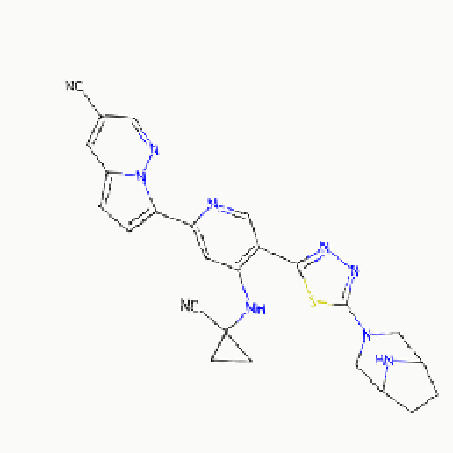 N#Cc1cnn2c(-c3cc(NC4(C#N)CC4)c(-c4nnc(N5CC6CCC(C5)N6)s4)cn3)ccc2c1